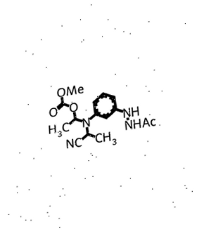 COC(=O)OC(C)N(c1cccc(NNC(C)=O)c1)C(C)C#N